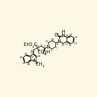 CCOC(=O)[C@](CC(=O)N1CCC(N2Cc3ccccc3NC2=O)CC1)(Cc1cn(C)c2ccccc12)C(=O)O